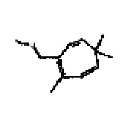 COCC1=C(C)C=CC(C)(C)C=C1